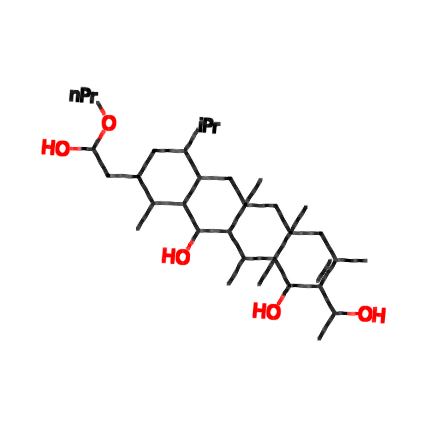 CCCOC(O)CC1CC(C(C)C)C2CC3(C)CC4(C)CC(C)=C(C(C)O)C(O)C4(C)C(C)C3C(O)C2C1C